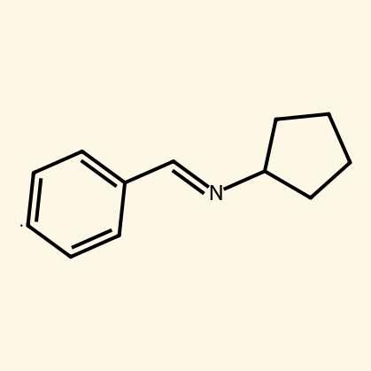 [c]1ccc(/C=N/C2CCCC2)cc1